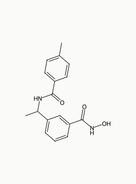 Cc1ccc(C(=O)NC(C)c2cccc(C(=O)NO)c2)cc1